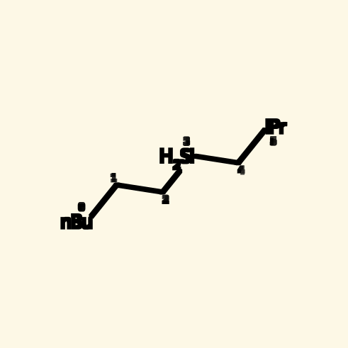 CCCCCC[SiH2]CC(C)C